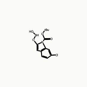 CC(C)(C)OC(=O)n1c(OBO)cc2ccc(Cl)cc21